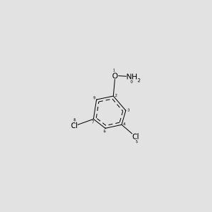 NOc1cc(Cl)cc(Cl)c1